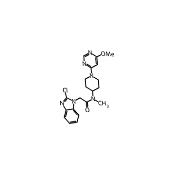 COc1cc(N2CCC(N(C)C(=O)Cn3c(Cl)nc4ccccc43)CC2)ncn1